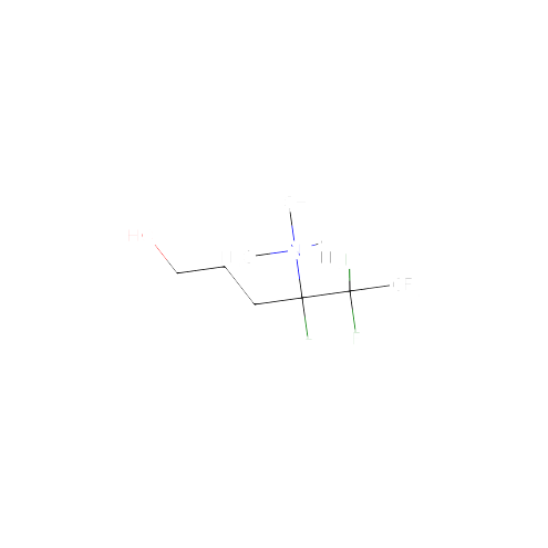 C[N+](C)(C)C(F)(CCCO)C(F)(F)C(F)(F)F